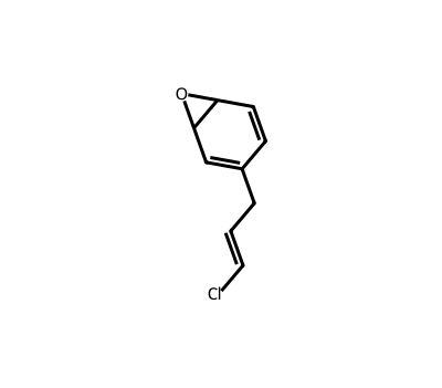 ClC=CCC1=CC2OC2C=C1